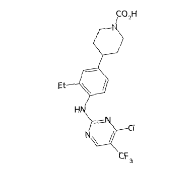 CCc1cc(C2CCN(C(=O)O)CC2)ccc1Nc1ncc(C(F)(F)F)c(Cl)n1